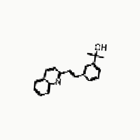 CC(C)(O)c1cccc(C=Cc2ccc3ccccc3n2)c1